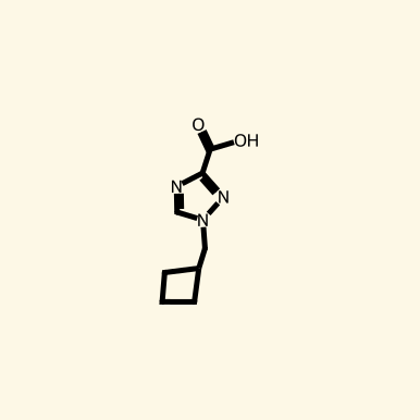 O=C(O)c1ncn(CC2CCC2)n1